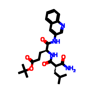 CC(C)C[C@@H](C(N)=O)C(=O)N[C@@H](CCC(=O)OC(C)(C)C)C(=O)Nc1cnc2ccccc2c1